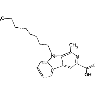 CCCCCCCCn1c2ccccc2c2cc(C(=O)O)nc(C)c21